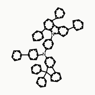 c1ccc(-c2ccc(N(c3ccc(-n4c5ccc(-c6ccccc6)cc5c5c(-c6ccccc6)ccc(-c6ccccc6)c54)cc3)c3ccc4c(c3)C(c3ccccc3)(c3ccccc3)c3ccccc3-4)cc2)cc1